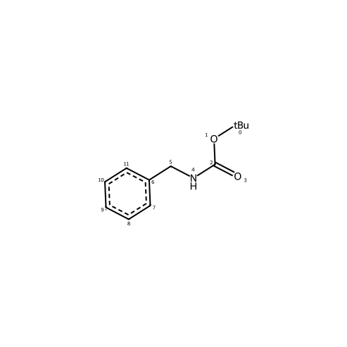 CC(C)(C)OC(=O)NCc1cc[c]cc1